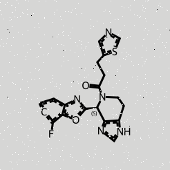 O=C(CCc1cncs1)N1CCc2[nH]cnc2[C@H]1c1nc2cccc(F)c2o1